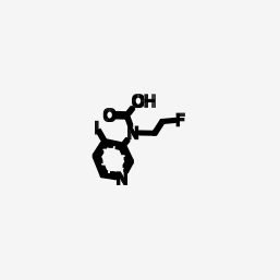 O=C(O)N(CCF)c1cnccc1I